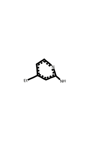 CCc1ccnc([NH])c1